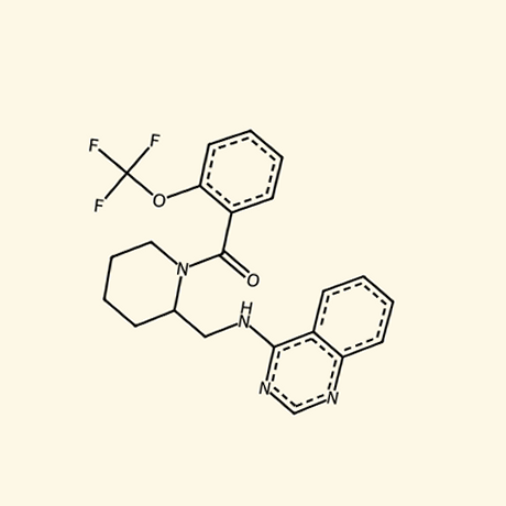 O=C(c1ccccc1OC(F)(F)F)N1CCCCC1CNc1ncnc2ccccc12